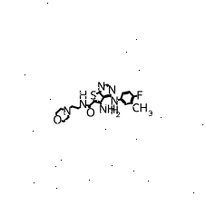 Cc1cc(Nc2ncnc3sc(C(=O)NCCN4CCOCC4)c(N)c23)ccc1F